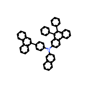 c1ccc(-c2c(-c3ccccc3)c3cc(N(c4ccc(-c5cc6ccccc6c6ccccc56)cc4)c4ccc5ccccc5c4)ccc3c3ccccc23)cc1